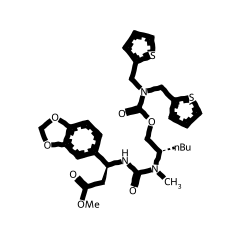 CCCC[C@@H](COC(=O)N(Cc1cccs1)Cc1cccs1)N(C)C(=O)N[C@@H](CC(=O)OC)c1ccc2c(c1)OCO2